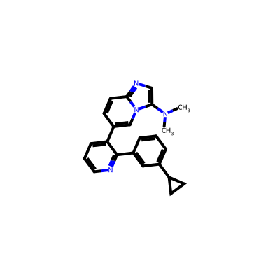 CN(C)c1cnc2ccc(-c3cccnc3-c3cccc(C4CC4)c3)cn12